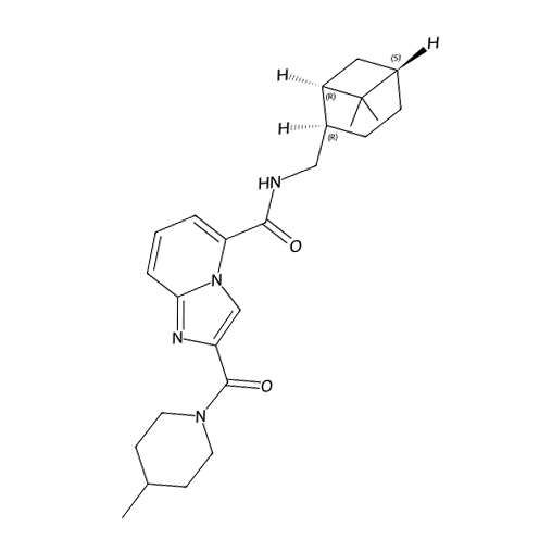 CC1CCN(C(=O)c2cn3c(C(=O)NC[C@@H]4CC[C@H]5C[C@H]4C5(C)C)cccc3n2)CC1